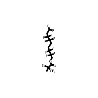 CCC(C)(C(=O)OCC(F)(F)C(F)(F)CCC(F)(F)C(F)(F)CC(F)F)C(F)(F)F